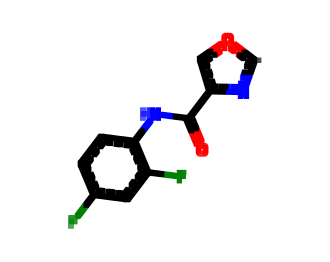 O=C(Nc1ccc(F)cc1F)c1co[c]n1